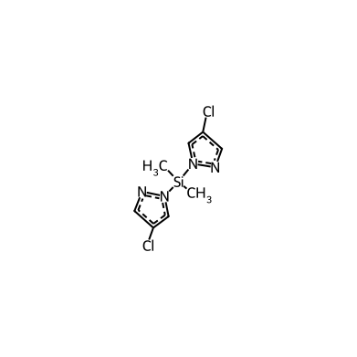 C[Si](C)(n1cc(Cl)cn1)n1cc(Cl)cn1